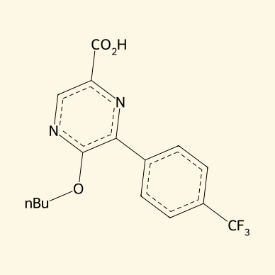 CCCCOc1ncc(C(=O)O)nc1-c1ccc(C(F)(F)F)cc1